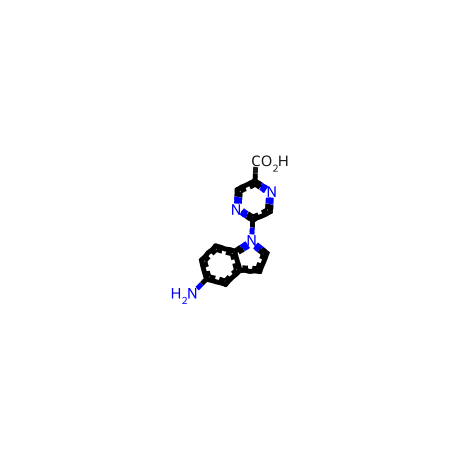 Nc1ccc2c(ccn2-c2cnc(C(=O)O)cn2)c1